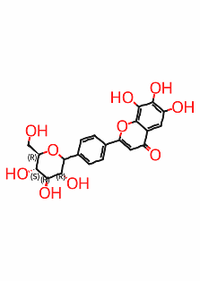 O=c1cc(-c2ccc(C3O[C@H](CO)[C@@H](O)[C@H](O)[C@H]3O)cc2)oc2c(O)c(O)c(O)cc12